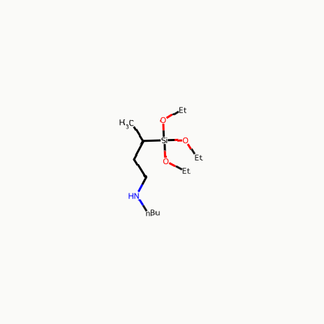 CCCCNCCC(C)[Si](OCC)(OCC)OCC